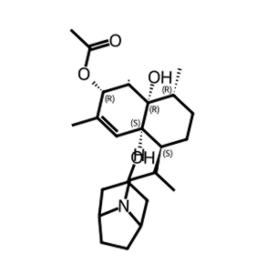 CC(=O)O[C@@H]1[CH][C@@]2(O)[C@H](C)CC[C@@H](C(C)CN3C4CCC3CC(O)C4)[C@H]2C=C1C